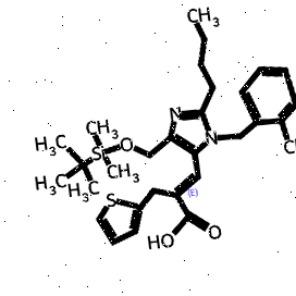 CCCCc1nc(CO[Si](C)(C)C(C)(C)C)c(/C=C(\Cc2cccs2)C(=O)O)n1Cc1ccccc1Cl